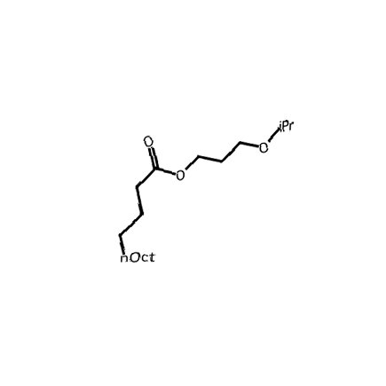 CCCCCCCCCCCC(=O)OCCCOC(C)C